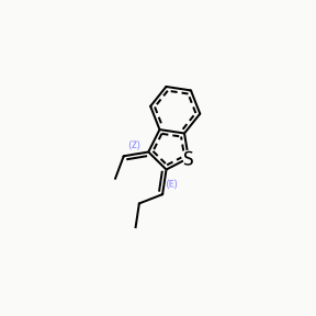 C/C=c1\c(=C/CC)sc2ccccc12